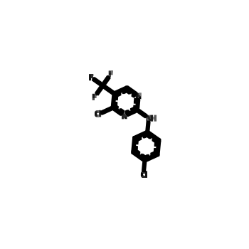 FC(F)(F)c1cnc(Nc2ccc(Cl)cc2)nc1Cl